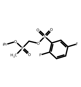 CC(C)OP(C)(=O)COS(=O)(=O)c1cc(F)ccc1F